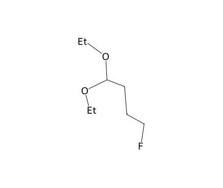 CCOC(CCCF)OCC